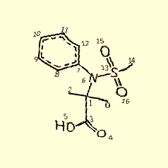 CC(C)(C(=O)O)N(c1ccccc1)S(C)(=O)=O